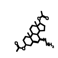 CC(=O)O[C@H]1CC[C@@]2(C)C(=CC(=NN)C3C2CC[C@@]2(C)C3CC[C@@H]2OC(C)=O)C1